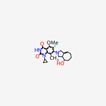 COc1c(F)c(N2CC3=CCCCC(O)C3C2)c(C)c2c1c(=O)[nH]c(=O)n2C1CC1